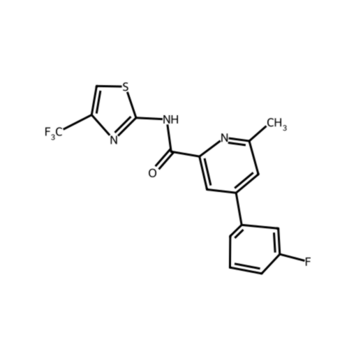 Cc1cc(-c2cccc(F)c2)cc(C(=O)Nc2nc(C(F)(F)F)cs2)n1